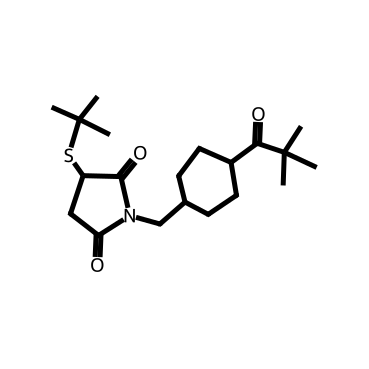 CC(C)(C)SC1CC(=O)N(CC2CCC(C(=O)C(C)(C)C)CC2)C1=O